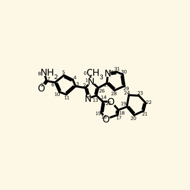 Cn1c(-c2ccc(C(N)=O)cc2)nc(C2=COC=C(C3=CC=CCC3)O2)c1-c1ccccn1